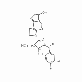 Cl.OC1CN=C2c3ccn([C@@H]4O[C@H]([C@H](O)c5ccc(Cl)c(F)c5)[C@@H](O)[C@H]4O)c3N=CN21